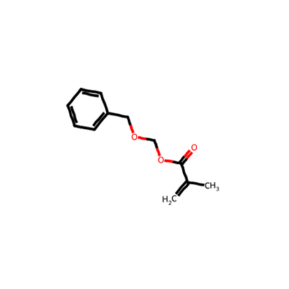 C=C(C)C(=O)OCOCc1ccccc1